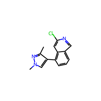 Cc1nn(C)cc1-c1cccc2cnc(Cl)cc12